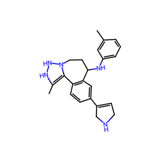 CC1=C2c3ccc(C4=CCNC4)cc3C(Nc3cccc(C)c3)CCN2NN1